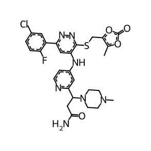 Cc1oc(=O)oc1CSc1nnc(-c2cc(Cl)ccc2F)cc1Nc1ccnc(C(CC(N)=O)N2CCN(C)CC2)c1